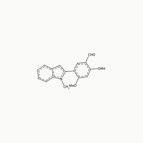 COc1cc(OC)c(-c2cc3ccccc3n2C)cc1C=O